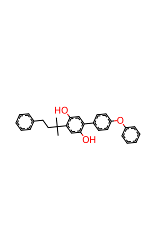 CC(C)(CCc1ccccc1)c1cc(O)c(-c2ccc(Oc3ccccc3)cc2)cc1O